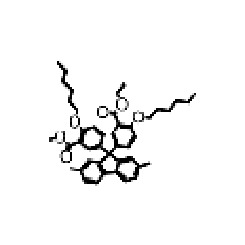 CCCCCCOc1ccc(C2(c3ccc(OCCCCCC)c(C(=O)OCC)c3)c3cc(C)ccc3-c3ccc(C)cc32)cc1C(=O)OC